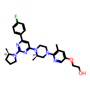 Cc1cc(OCCO)cnc1N1CCN(c2cc(-c3ccc(F)cc3)nc(N3CCC[C@H]3C)n2)[C@H](C)C1